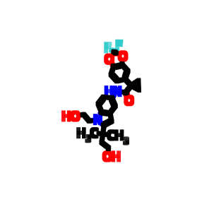 CC(C)(CCO)c1cc2cc(NC(=O)C3(c4ccc5c(c4)OC(F)(F)O5)CC3)ccc2n1CCO